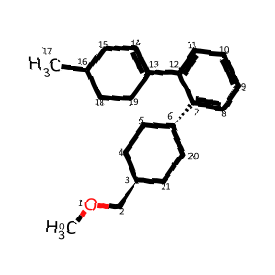 COC[C@H]1CC[C@H](c2ccccc2C2=CCC(C)CC2)CC1